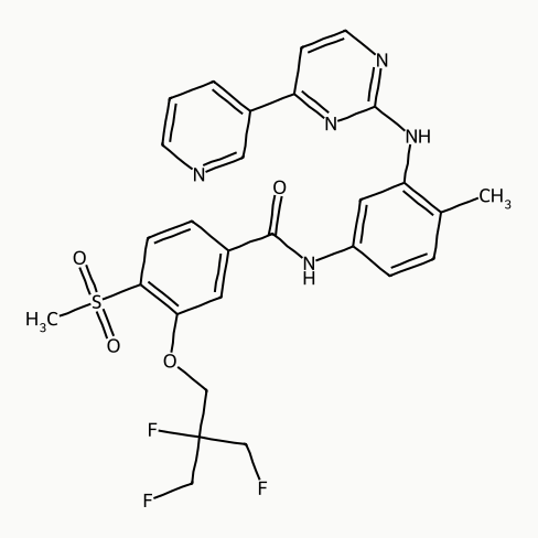 Cc1ccc(NC(=O)c2ccc(S(C)(=O)=O)c(OCC(F)(CF)CF)c2)cc1Nc1nccc(-c2cccnc2)n1